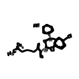 CN(C)CCCNC(=O)[C@H]1Oc2ccc(Cl)cc2[C@@H](c2ccccc2)O1.Cl